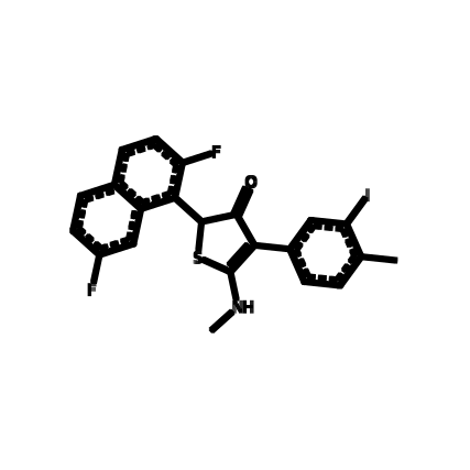 CNC1=C(c2ccc(C)c(I)c2)C(=O)C(c2c(F)ccc3ccc(F)cc23)S1